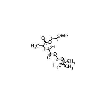 CCC(CC(C)C(=O)OCCOC)C(=O)OCO[Si](C)(C)C